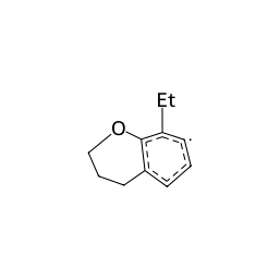 CCc1[c]ccc2c1OCCC2